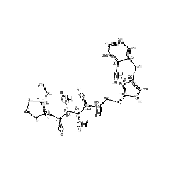 CC[C@H]1CCCN1C(=O)[C@H](O)[C@@H](O)C(=O)NCCc1cc(Cc2ccccc2N)cs1